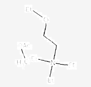 CCOCC[N+](CC)(CC)CC.COC(C)=O